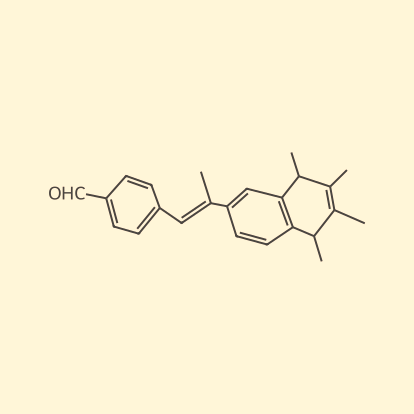 CC(=Cc1ccc(C=O)cc1)c1ccc2c(c1)C(C)C(C)=C(C)C2C